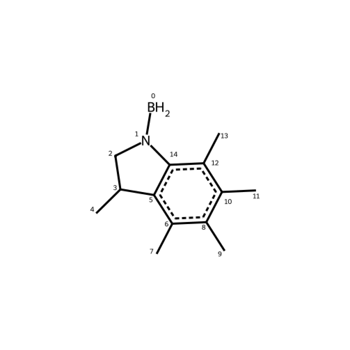 BN1CC(C)c2c(C)c(C)c(C)c(C)c21